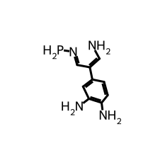 N/C=C(\C=NP)c1ccc(N)c(N)c1